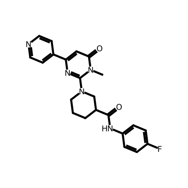 Cn1c(N2CCCC(C(=O)Nc3ccc(F)cc3)C2)nc(-c2ccncc2)cc1=O